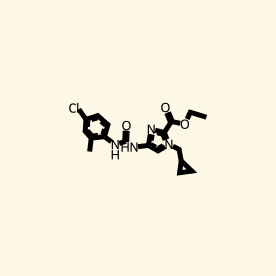 CCOC(=O)c1nc(NC(=O)Nc2ccc(Cl)cc2C)cn1CC1CC1